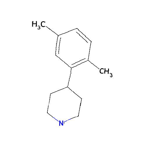 Cc1ccc(C)c(C2CC[N]CC2)c1